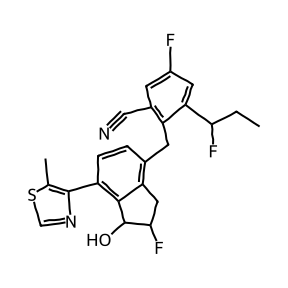 CCC(F)c1cc(F)cc(C#N)c1Cc1ccc(-c2ncsc2C)c2c1CC(F)C2O